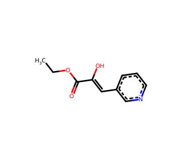 CCOC(=O)C(O)=Cc1cccnc1